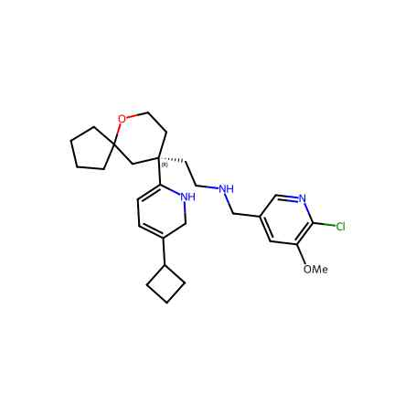 COc1cc(CNCC[C@@]2(C3=CC=C(C4CCC4)CN3)CCOC3(CCCC3)C2)cnc1Cl